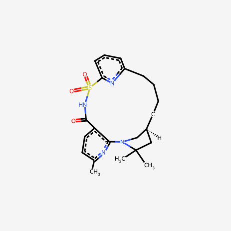 Cc1ccc2c(n1)N1C[C@@H](CCCCc3cccc(n3)S(=O)(=O)NC2=O)CC1(C)C